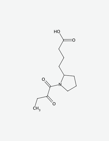 CCC(=O)C(=O)N1CCCC1CCCC(=O)O